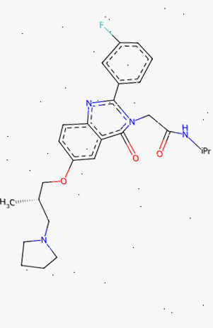 CC(C)NC(=O)Cn1c(-c2cccc(F)c2)nc2ccc(OC[C@@H](C)CN3CCCC3)cc2c1=O